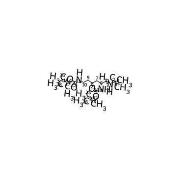 CC(C)(C)NCC(CCCCNC(=O)OC(C)(C)C)NC(=O)OC(C)(C)C